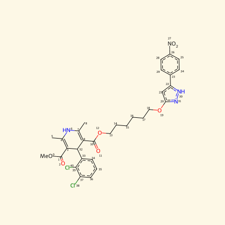 COC(=O)C1=C(C)NC(C)=C(C(=O)OCCCCCCOc2cc(-c3ccc([N+](=O)[O-])cc3)[nH]n2)C1c1cccc(Cl)c1Cl